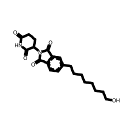 O=C1CCC(N2C(=O)c3ccc(CCCCCCCCO)cc3C2=O)C(=O)N1